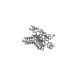 [2H]c1c([2H])c([C@]2([2H])N(C([2H])([2H])C(=O)N(C([2H])([2H])C([2H])([2H])C([2H])([2H])C([2H])([2H])[2H])C([2H])([2H])C([2H])([2H])C([2H])([2H])C([2H])([2H])[2H])C([2H])([2H])[C@]([2H])(c3c([2H])c([2H])c4c(c3[2H])OC([2H])([2H])O4)[C@@]2([2H])C(=O)O)c([2H])c([2H])c1OC([2H])([2H])[2H]